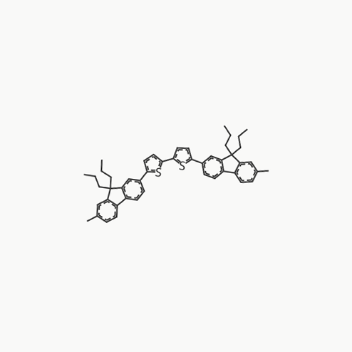 CCCC1(CCC)c2cc(C)ccc2-c2ccc(-c3ccc(-c4ccc(-c5ccc6c(c5)C(CCC)(CCC)c5cc(C)ccc5-6)s4)s3)cc21